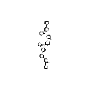 c1ccc(-c2ccc3c(c2)c2ccccc2n3-c2ccc3oc4ccc(-n5c6ccccc6c6cc(-c7cccc(-c8ccc9oc%10ccccc%10c9c8)c7)ccc65)cc4c3c2)cc1